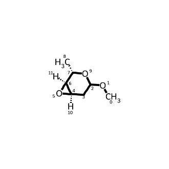 COC1C[C@H]2O[C@H]2[C@H](C)O1